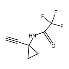 C#CC1(NC(=O)C(F)(F)F)CC1